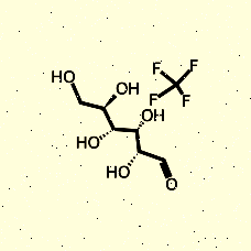 FC(F)(F)F.O=C[C@H](O)[C@@H](O)[C@H](O)[C@H](O)CO